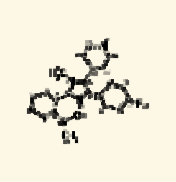 Cn1c(-c2ccccc2[S+](C)[O-])nc(-c2ccc(F)cc2)c1-c1ccncc1